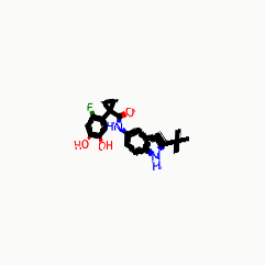 CC(C)(C)c1cc2cc(NC(=O)C3(c4cc(O)c(O)cc4F)CC3)ccc2[nH]1